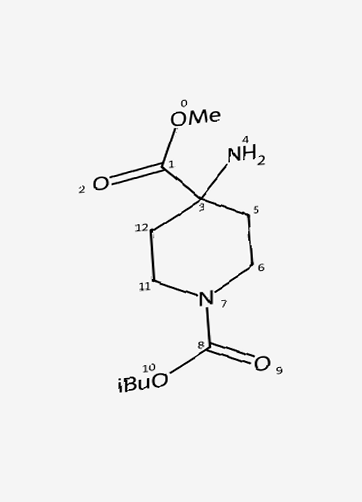 COC(=O)C1(N)CCN(C(=O)OCC(C)C)CC1